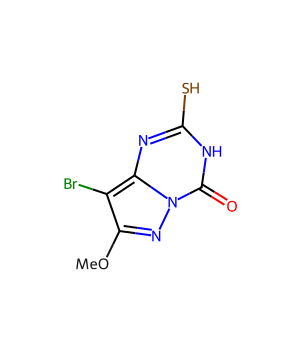 COc1nn2c(=O)[nH]c(S)nc2c1Br